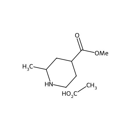 CC(=O)O.COC(=O)C1CCNC(C)C1